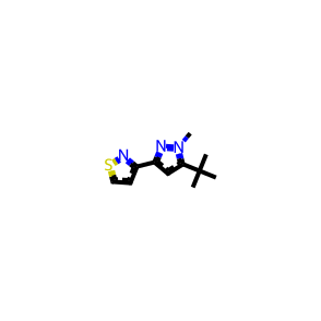 Cn1nc(-c2ccsn2)cc1C(C)(C)C